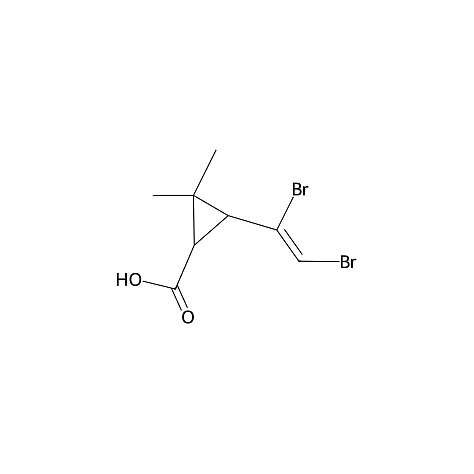 CC1(C)C(C(=O)O)C1C(Br)=CBr